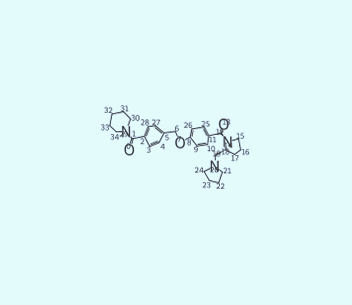 O=C(c1ccc(COc2ccc(C(=O)N3CCC[C@H]3CN3CCCC3)cc2)cc1)N1CCCCC1